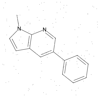 Cn1ccc2cc(-c3ccccc3)cnc21